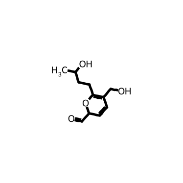 CC(O)CCC1=C(CO)C=CC(C=O)O1